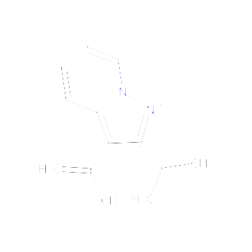 C=C(C)c1c(C(C)C)nn2ccccc12